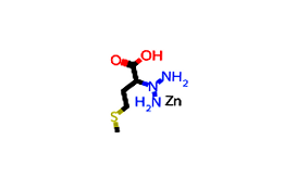 CSCCC(C(=O)O)N(N)N.[Zn]